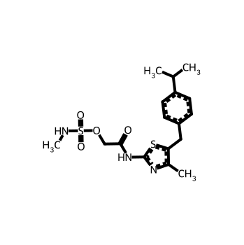 CNS(=O)(=O)OCC(=O)Nc1nc(C)c(Cc2ccc(C(C)C)cc2)s1